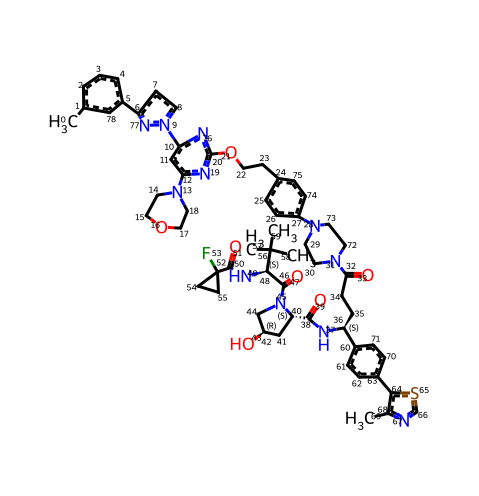 Cc1cccc(-c2ccn(-c3cc(N4CCOCC4)nc(OCCc4ccc(N5CCN(C(=O)CC[C@H](NC(=O)[C@@H]6C[C@@H](O)CN6C(=O)[C@@H](NC(=O)C6(F)CC6)C(C)(C)C)c6ccc(-c7scnc7C)cc6)CC5)cc4)n3)n2)c1